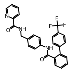 O=C(NCc1ccc(NC(=O)c2ccccc2-c2ccc(C(F)(F)F)cc2)cc1)c1ccccn1